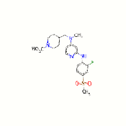 CN(CC1CCN(C(=O)O)CC1)c1ccnc(Nc2ccc(S(C)(=O)=O)cc2F)c1